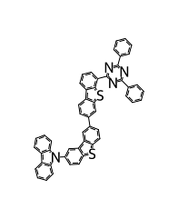 c1ccc(-c2nc(-c3ccccc3)nc(-c3cccc4c3sc3cc(-c5ccc6sc7ccc(-n8c9ccccc9c9ccccc98)cc7c6c5)ccc34)n2)cc1